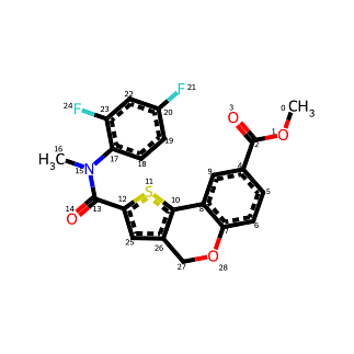 COC(=O)c1ccc2c(c1)-c1sc(C(=O)N(C)c3ccc(F)cc3F)cc1CO2